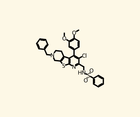 COc1ccc(-c2c(Cl)c(CNS(=O)(=O)c3ccccc3)nc3sc4c(c23)CCN(Cc2ccccc2)C4)cc1OC